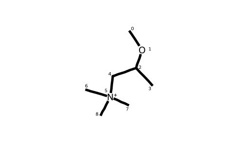 COC(C)C[N+](C)(C)C